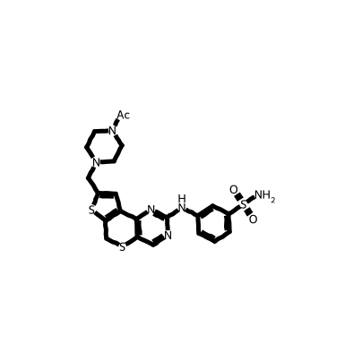 CC(=O)N1CCN(Cc2cc3c(s2)CSc2cnc(Nc4cccc(S(N)(=O)=O)c4)nc2-3)CC1